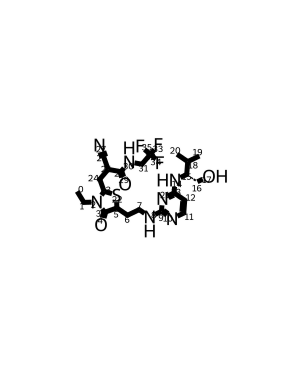 CCN1C(=O)C(CCNc2nccc(N[C@@H](CO)C(C)C)n2)SC1CC(C#N)C(=O)NCC(F)(F)F